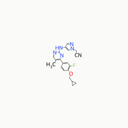 Cc1cnc(Nc2cnn(CC#N)c2)nc1-c1ccc(OCC2CC2)c(F)c1